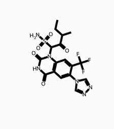 CCC(C)C(=O)C(n1c(=O)[nH]c(=O)c2cc(-n3cnnc3)c(C(F)(F)F)cc21)S(N)(=O)=O